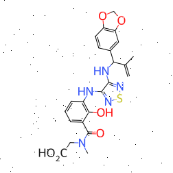 C=C(C)C(Nc1nsnc1Nc1cccc(C(=O)N(C)CC(=O)O)c1O)c1ccc2c(c1)OCO2